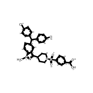 Cn1nc(C2CCN(S(=O)(=O)c3ccc(C(=O)O)cc3)CC2)c2cc(C(c3ccc(Cl)cc3)c3ccc(Cl)cc3)ccc21